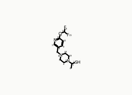 CC(S)N1CCN(Cc2ccc(OC(F)F)nc2)CC1